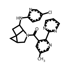 Cc1cnc(-c2ncccn2)c(C(=O)N2CC3CC34CC(Nc3ccc(Cl)cn3)C24)c1